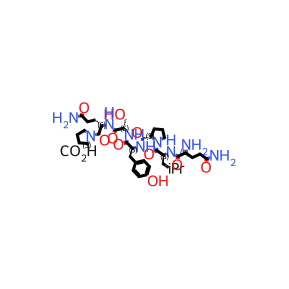 CC(C)C[C@H](NC(=O)[C@@H](N)CCC(N)=O)C(=O)N1CCC[C@H]1C(=O)N[C@@H](Cc1ccc(O)cc1)C(=O)N[C@@H](CO)C(=O)N[C@@H](CCC(N)=O)C(=O)N1CCC[C@H]1C(=O)O